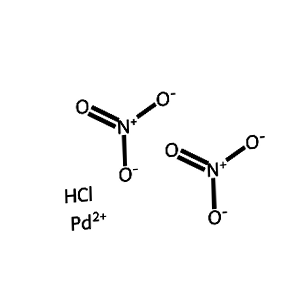 Cl.O=[N+]([O-])[O-].O=[N+]([O-])[O-].[Pd+2]